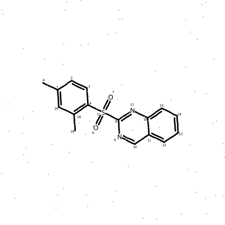 Cc1ccc(S(=O)(=O)c2ncc3ccccc3n2)c(C)c1